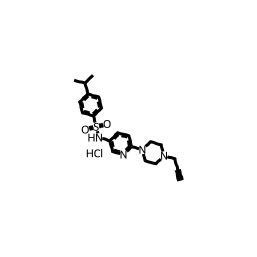 C#CCN1CCN(c2ccc(NS(=O)(=O)c3ccc(C(C)C)cc3)cn2)CC1.Cl